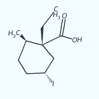 CC[C@@]1(C(=O)O)C[C@H](I)CC[C@H]1C